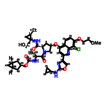 CC[C@@H]1C[C@]1(NC(=O)[C@@H]1C[C@@H](Oc2cc(-c3coc(NC4CC4)n3)nc3c(Cl)c(OCCOC)ccc23)CN1C(=O)[C@@H](NC(=O)OC1C[C@@H]2C[C@@H]2C1)C(C)(C)C)C(=O)O